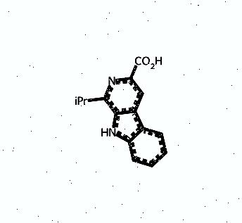 CC(C)c1nc(C(=O)O)cc2c1[nH]c1ccccc12